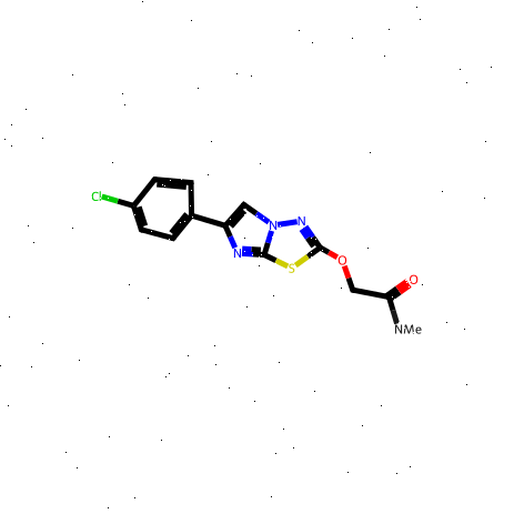 CNC(=O)COc1nn2cc(-c3ccc(Cl)cc3)nc2s1